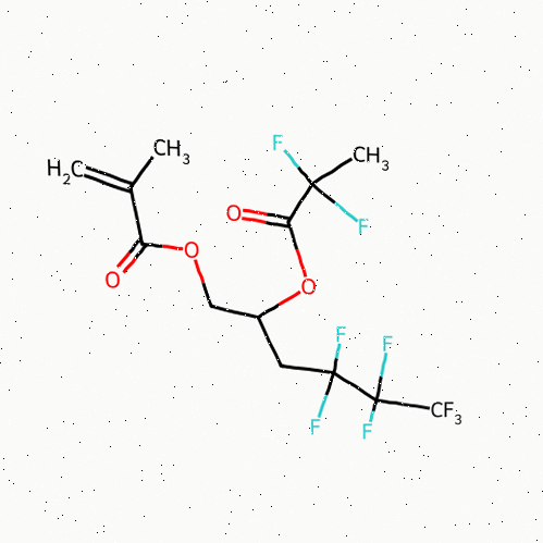 C=C(C)C(=O)OCC(CC(F)(F)C(F)(F)C(F)(F)F)OC(=O)C(C)(F)F